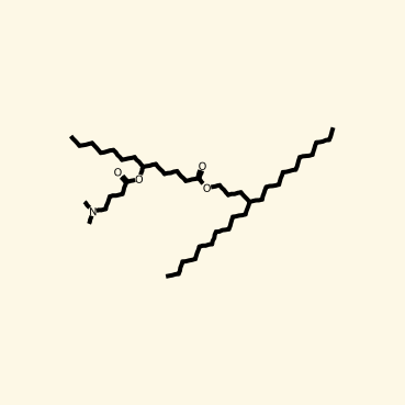 CCCCCCCCCCC(CCCCCCCCCC)CCCOC(=O)CCCCC(CCCCCCC)OC(=O)CCCN(C)C